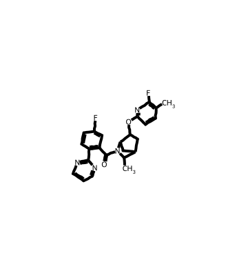 Cc1ccc(OC2CC3CC2N(C(=O)c2cc(F)ccc2-c2ncccn2)C3C)nc1F